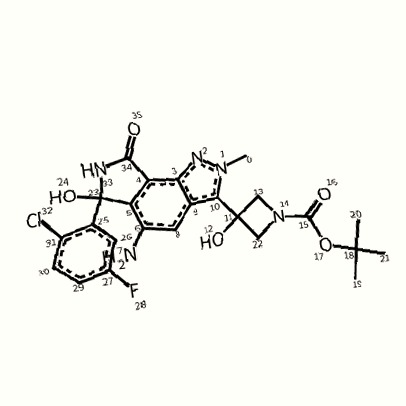 Cn1nc2c3c(c(N)cc2c1C1(O)CN(C(=O)OC(C)(C)C)C1)C(O)(c1cc(F)ccc1Cl)NC3=O